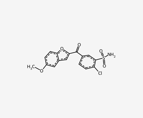 COc1ccc2oc(C(=O)c3ccc(Cl)c(S(N)(=O)=O)c3)cc2c1